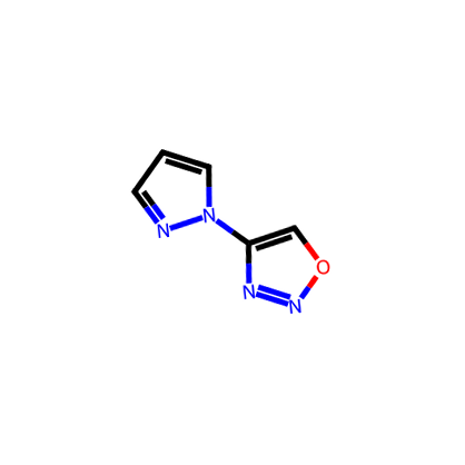 c1cnn(-c2conn2)c1